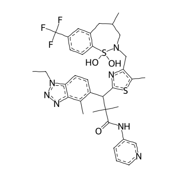 CCn1nnc2c(C)c(C(c3nc(CN4CC(C)Cc5cc(C(F)(F)F)ccc5S4(O)O)c(C)s3)C(C)(C)C(=O)Nc3cccnc3)ccc21